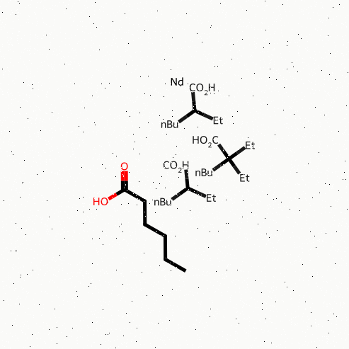 CCCCC(CC)(CC)C(=O)O.CCCCC(CC)C(=O)O.CCCCC(CC)C(=O)O.CCCCCC(=O)O.[Nd]